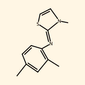 Cc1ccc(N=c2sccn2C)c(C)c1